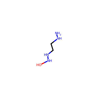 NNCCNNO